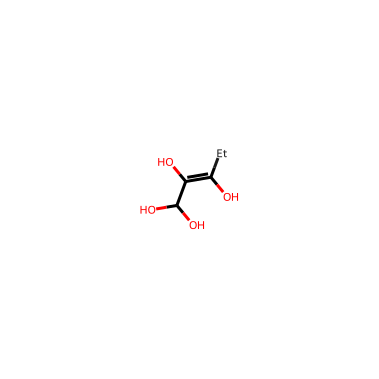 CCC(O)=C(O)C(O)O